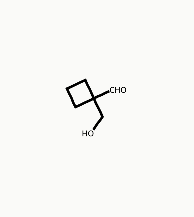 O=CC1(CO)CCC1